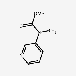 COC(=O)N(C)c1cccnc1